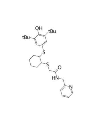 CC(C)(C)c1cc(SC2CCCCC2SCC(=O)NCc2ccccn2)cc(C(C)(C)C)c1O